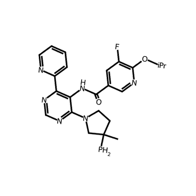 CC(C)Oc1ncc(C(=O)Nc2c(-c3ccccn3)ncnc2N2CCC(C)(P)C2)cc1F